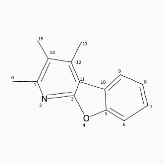 Cc1nc2oc3ccccc3c2c(C)c1C